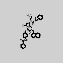 C=CCN(C(=O)NCc1ccccc1)N1CC(=O)N2[C@@H](Cc3ccc(NC(=O)c4ccccc4)cc3)C(=O)N(Cc3cccc4ccccc34)C[C@@H]21